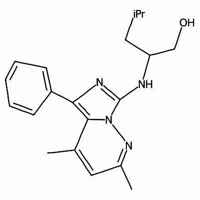 Cc1cc(C)c2c(-c3ccccc3)nc(NC(CO)CC(C)C)n2n1